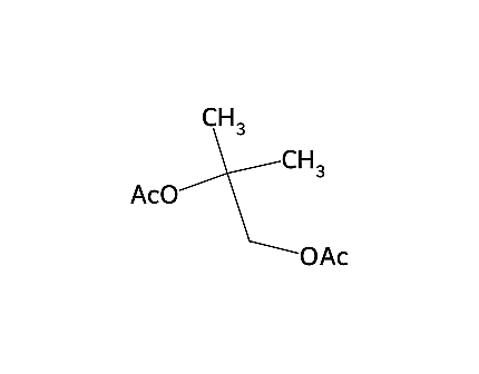 CC(=O)OCC(C)(C)OC(C)=O